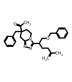 C=C(C)CCC(COCc1ccccc1)c1nnc2n1CCC(Cc1ccccc1)(C(C)=O)C2